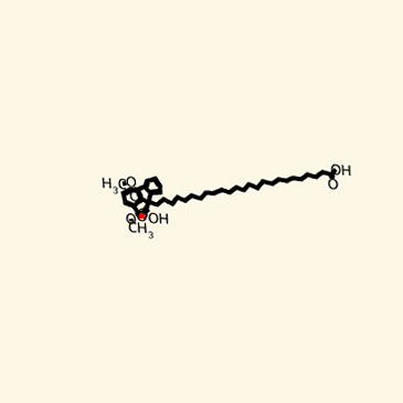 COC(=O)c1ccccc1C(CCCCCCCCCCCCCCCCCCCCCCCCC(=O)O)(C(=O)O)c1ccccc1C(=O)OC